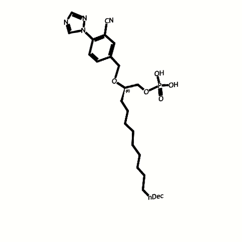 CCCCCCCCCCCCCCCCCCC[C@H](COP(=O)(O)O)OCc1ccc(-n2cncn2)c(C#N)c1